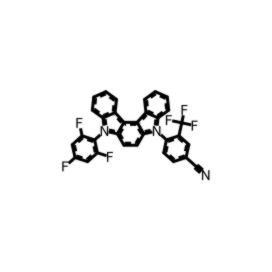 N#Cc1ccc(-n2c3ccccc3c3c4c5ccccc5n(-c5c(F)cc(F)cc5F)c4ccc32)c(C(F)(F)F)c1